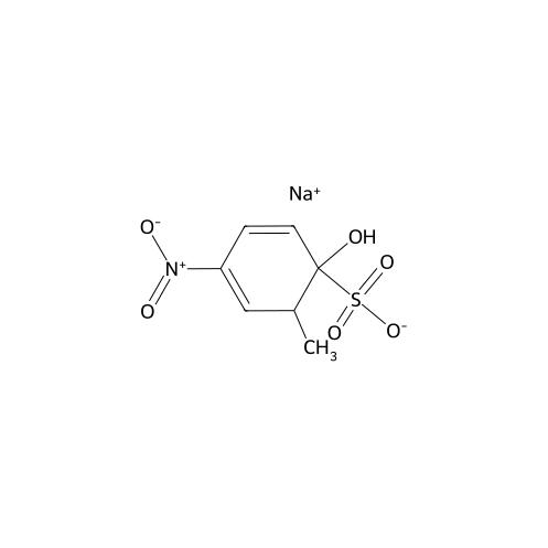 CC1C=C([N+](=O)[O-])C=CC1(O)S(=O)(=O)[O-].[Na+]